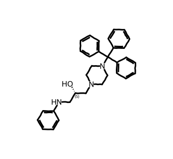 O[C@@H](CNc1ccccc1)CN1CCN(C(c2ccccc2)(c2ccccc2)c2ccccc2)CC1